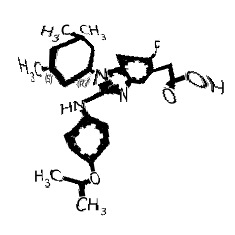 CC(C)Oc1ccc(Nc2nc3cc(CC(=O)O)c(F)cc3n2[C@@H]2C[C@@H](C)CC(C)(C)C2)cc1